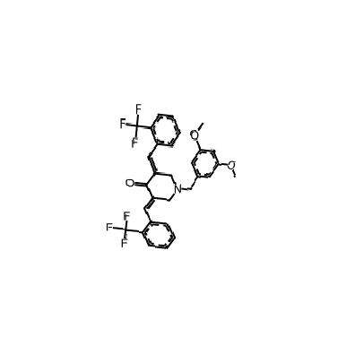 COc1cc(CN2CC(=Cc3ccccc3C(F)(F)F)C(=O)C(=Cc3ccccc3C(F)(F)F)C2)cc(OC)c1